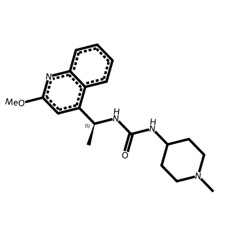 COc1cc([C@H](C)NC(=O)NC2CCN(C)CC2)c2ccccc2n1